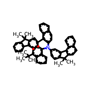 CC(C)(C)c1ccc(N(c2ccc3c(c2)-c2c(ccc4ccccc24)C3(C)C)c2ccc3ccccc3c2-c2ccc3c(c2)C(C)(C)c2ccccc2-3)c2ccccc12